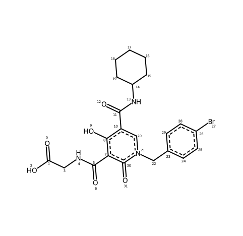 O=C(O)CNC(=O)c1c(O)c(C(=O)NC2CCCCC2)cn(Cc2ccc(Br)cc2)c1=O